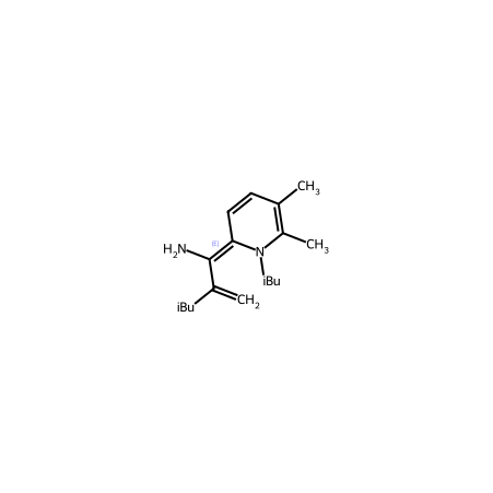 C=C(/C(N)=C1/C=CC(C)=C(C)N1C(C)CC)C(C)CC